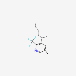 CCCCC(C)c1cc(C)cnc1C(F)(F)F